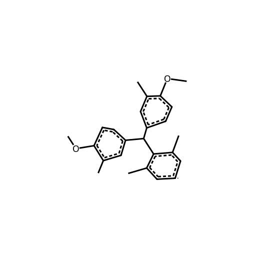 COc1ccc(C(c2ccc(OC)c(C)c2)c2c(C)c[c]cc2C)cc1C